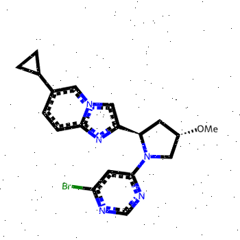 CO[C@H]1C[C@H](c2cn3cc(C4CC4)ccc3n2)N(c2cc(Br)ncn2)C1